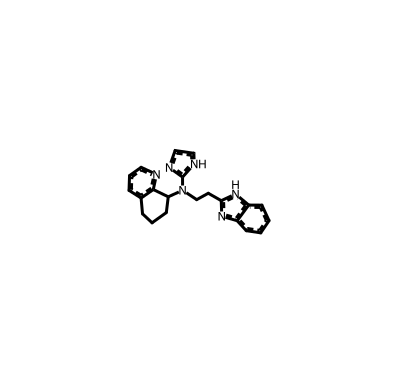 c1cnc2c(c1)CCCC2N(CCc1nc2ccccc2[nH]1)c1ncc[nH]1